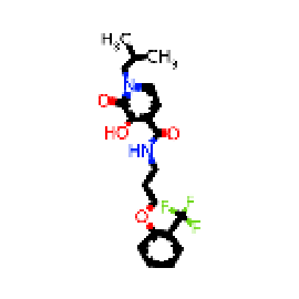 CC(C)Cn1ccc(C(=O)NCCCOc2ccccc2C(F)(F)F)c(O)c1=O